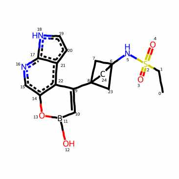 CCS(=O)(=O)NC12CC(C3=CB(O)Oc4cnc5[nH]ccc5c43)(C1)C2